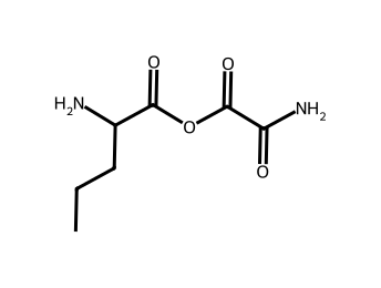 CCCC(N)C(=O)OC(=O)C(N)=O